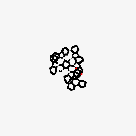 N#Cc1c(-n2c3ccccc3c3ccccc32)c(-n2c3ccccc3c3ccccc32)c(C#N)c(-n2c3cc(-c4cc5ccccc5c5ccccc45)ccc3c3ccc4c5ccccc5oc4c32)c1-n1c2ccccc2c2ccccc21